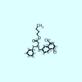 CCCCOC(=O)CN(Cc1ccccc1)Cc1ccc2c(Cl)cnc(Cl)c2c1